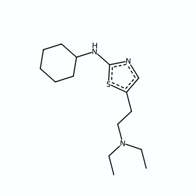 CCN(CC)CCc1cnc(NC2CCCCC2)s1